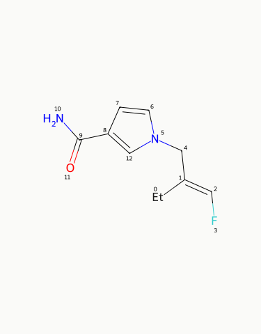 CC/C(=C\F)Cn1ccc(C(N)=O)c1